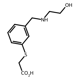 O=C(O)CSc1cccc(CNCCO)c1